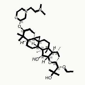 CCO[C@@H]([C@H]1C[C@@H](C)[C@H]2[C@H](O1)[C@H](O)[C@@]1(C)[C@@H]3CC[C@H]4C(C)(C)[C@@H](O[C@H]5CN(CCN(C)C)CCO5)CC[C@@]45C[C@@]35CC[C@]21C)C(C)(C)O